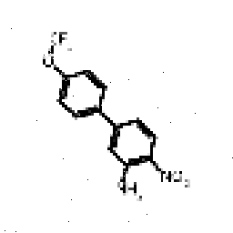 Nc1cc(-c2ccc(OC(F)(F)F)cc2)ccc1[N+](=O)[O-]